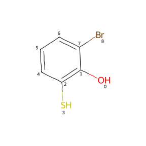 Oc1c(S)cccc1Br